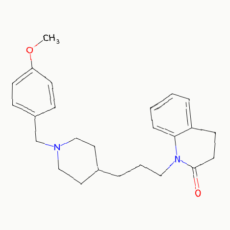 COc1ccc(CN2CCC(CCCN3C(=O)CCc4ccccc43)CC2)cc1